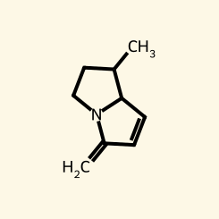 C=C1C=CC2C(C)CCN12